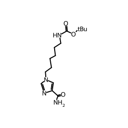 CC(C)(C)OC(=O)NCCCCCCn1cnc(C(N)=O)c1